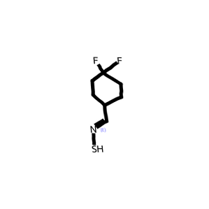 FC1(F)CCC(/C=N/S)CC1